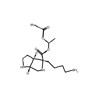 BCCCC[C@@]1(C(=O)OC(C)OC(=O)C(C)(C)C)NC[C@@H]2NCC[C@@H]21